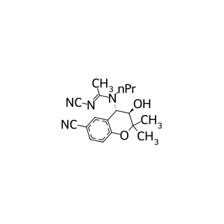 CCCN(C(C)=NC#N)[C@H]1c2cc(C#N)ccc2OC(C)(C)[C@@H]1O